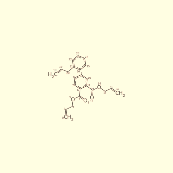 C=CCOC(=O)c1ccccc1C(=O)OCC=C.C=CCc1ccccc1